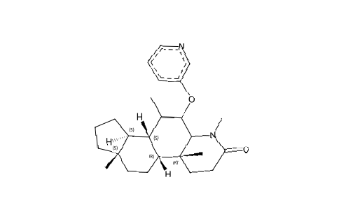 CC1C(Oc2cccnc2)C2N(C)C(=O)CC[C@]2(C)[C@@H]2CC[C@]3(C)CCC[C@H]3[C@H]12